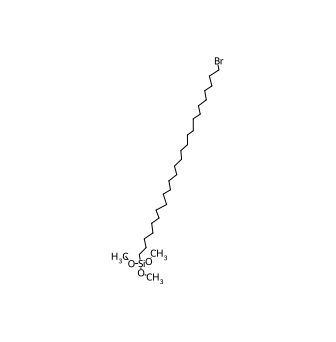 CO[Si](CCCCCCCCCCCCCCCCCCCCCCCCCCBr)(OC)OC